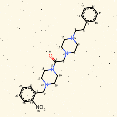 O=C(CN1CCN(CCc2ccccc2)CC1)N1CCN(Cc2ccccc2[N+](=O)[O-])CC1